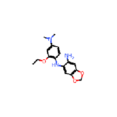 CCOc1cc(N(C)C)ccc1Nc1cc2c(cc1N)OCO2